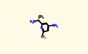 C[C@@H](N)c1cc(N)cc(C(F)(F)F)n1